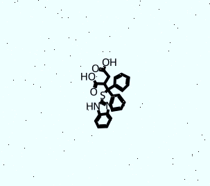 O=C(O)CC(C(=O)O)C(Sc1nc2ccccc2[nH]1)(c1ccccc1)c1ccccc1